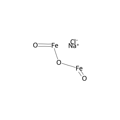 [Cl-].[Na+].[O]=[Fe][O][Fe]=[O]